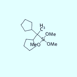 CO[Si](OC)(OC)C(C)(C1CCCC1)C1CCCC1